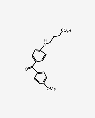 COc1ccc(C(=O)c2ccc(NCCCC(=O)O)cc2)cc1